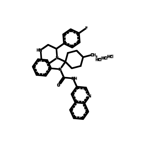 CC1CCC(N(C(=O)Nc2cnc3ccccc3c2)c2ccccc2)(N2CCNCC2c2ccc(F)cc2)CC1.Cl.Cl.Cl